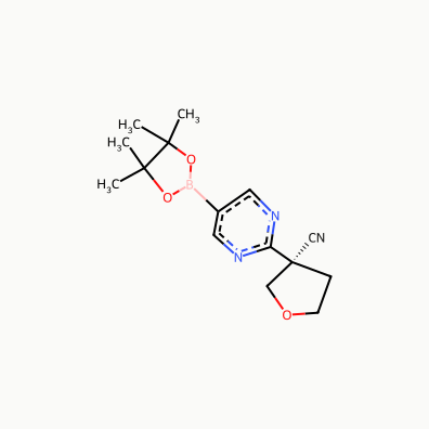 CC1(C)OB(c2cnc([C@@]3(C#N)CCOC3)nc2)OC1(C)C